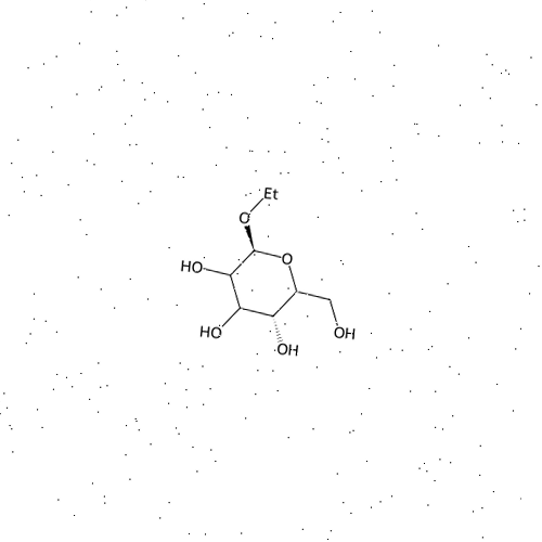 CCO[C@H]1OC(CO)[C@H](O)C(O)C1O